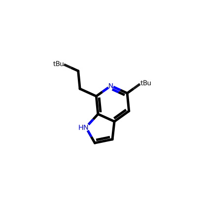 CC(C)(C)CCc1nc(C(C)(C)C)cc2cc[nH]c12